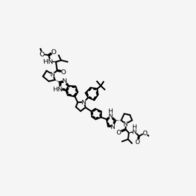 COC(=O)N[C@H](C(=O)N1CCC[C@H]1c1ncc(-c2ccc(C3CCC(c4ccc5nc([C@@H]6CCCN6C(=O)[C@@H](NC(=O)OC)C(C)C)[nH]c5c4)N3c3ccc(C(C)(C)C)cc3)cc2)[nH]1)C(C)C